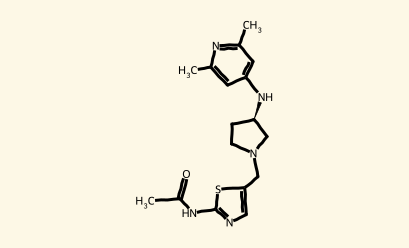 CC(=O)Nc1ncc(CN2CC[C@@H](Nc3cc(C)nc(C)c3)C2)s1